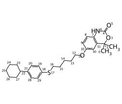 CC1(C)OC(=O)Nc2ccc(OCCCCCSc3ccc(C4CCCCC4)cc3)cc21